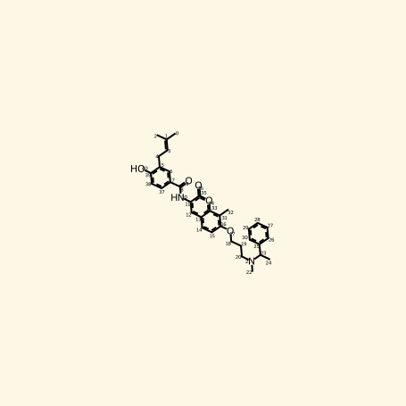 CC(C)=CCc1cc(C(=O)Nc2cc3ccc(OCCCN(C)C(C)c4ccccc4)c(C)c3oc2=O)ccc1O